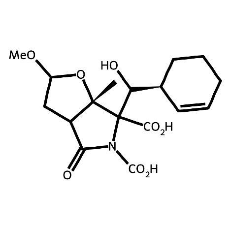 COC1CC2C(=O)N(C(=O)O)C(C(=O)O)(C(O)[C@@H]3C=CCCC3)[C@@]2(C)O1